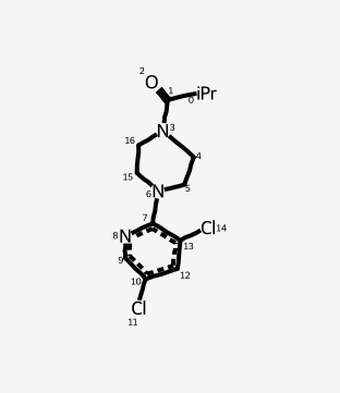 CC(C)C(=O)N1CCN(c2ncc(Cl)cc2Cl)CC1